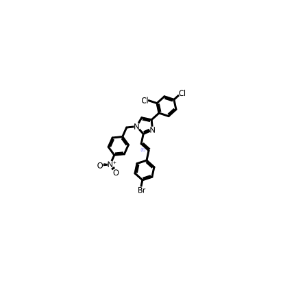 O=[N+]([O-])c1ccc(Cn2cc(-c3ccc(Cl)cc3Cl)nc2/C=C/c2ccc(Br)cc2)cc1